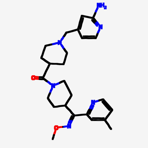 CON=C(c1cc(C)ccn1)C1CCN(C(=O)C2CCN(Cc3ccnc(N)c3)CC2)CC1